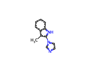 Cc1c(-n2ccnc2)[nH]c2ccccc12